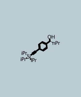 CCC[C@@H](O)c1ccc(C#C[Si](C(C)C)(C(C)C)C(C)C)cc1